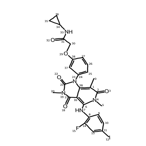 Cc1c(=O)n(C)c(Nc2ccc(I)cc2F)c2c(=O)n(C)c(=O)n(-c3cccc(OCC(=O)NC4CC4)c3)c12